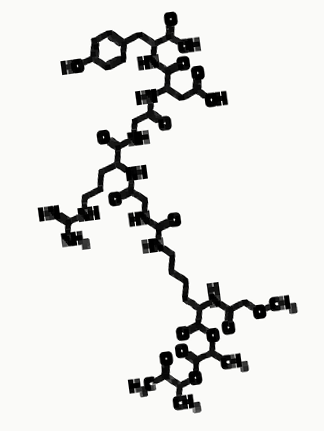 COCC(=O)NC(CCCCNC(=O)NCC(=O)NC(CCCNC(=N)N)C(=O)NCC(=O)NC(CC(=O)O)C(=O)NC(Cc1ccc(O)cc1)C(=O)O)C(=O)OC(C)C(=O)OC(C)C(C)=O